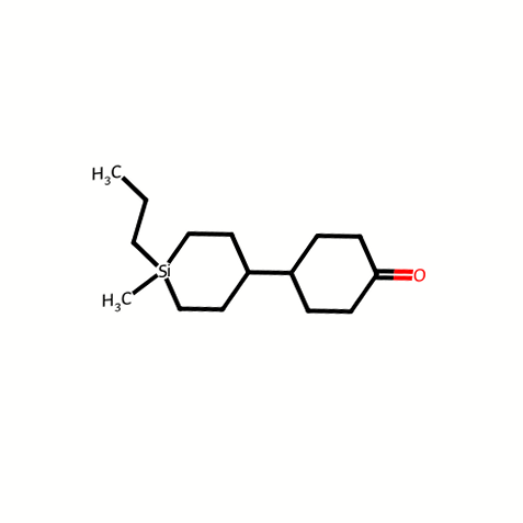 CCC[Si]1(C)CCC(C2CCC(=O)CC2)CC1